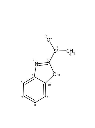 C[S+]([O-])c1nc2ccccc2o1